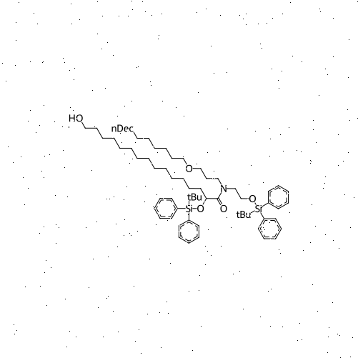 CCCCCCCCCCCCCCCCOCCCN(CCO[Si](c1ccccc1)(c1ccccc1)C(C)(C)C)C(=O)C(CCCCCCCCCCCCCCO)O[Si](c1ccccc1)(c1ccccc1)C(C)(C)C